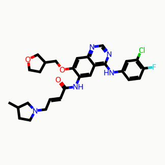 CC1CCN(C/C=C/C(=O)Nc2cc3c(Nc4ccc(F)c(Cl)c4)ncnc3cc2OCC2CCOC2)C1